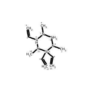 C=C[SiH]1N(C)[SiH2]N(C)[Si](C=C)(C=C)N1C